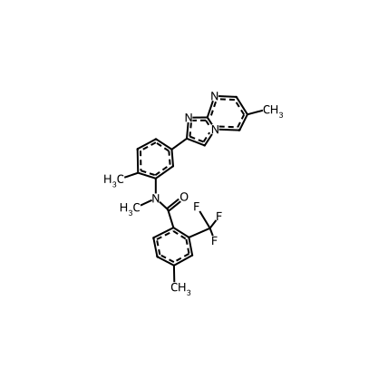 Cc1ccc(C(=O)N(C)c2cc(-c3cn4cc(C)cnc4n3)ccc2C)c(C(F)(F)F)c1